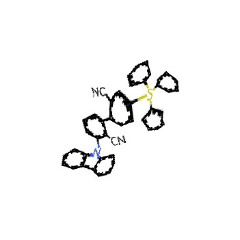 N#Cc1cc(S(c2ccccc2)(c2ccccc2)c2ccccc2)ccc1-c1cccc(-n2c3ccccc3c3ccccc32)c1C#N